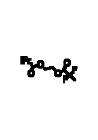 CC(C)C(=O)OCCOC(=O)C(C)(F)F